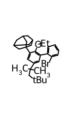 CCOc1c(-c2ccccc2Br)cc(C(C)(C)CC(C)(C)C)cc1C12CC3CC(CC(C3)C1)C2